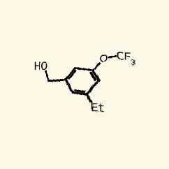 CCc1cc(CO)cc(OC(F)(F)F)c1